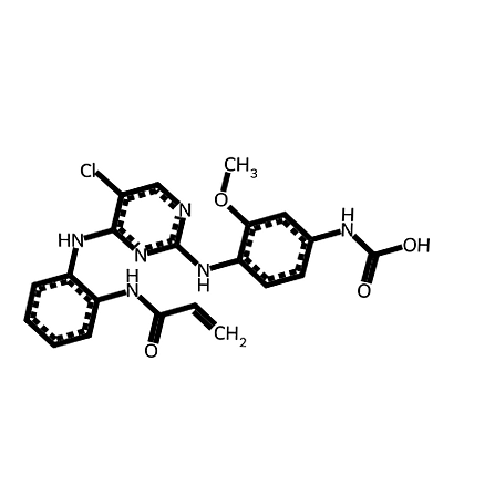 C=CC(=O)Nc1ccccc1Nc1nc(Nc2ccc(NC(=O)O)cc2OC)ncc1Cl